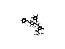 CCCN(CCC)C(=O)c1cc(C)cc(C(=O)N[C@@H](Cc2cc(F)cc(F)c2)[C@@H](O)[C@H](O)[C@@H](C)C(=O)NCc2ccccc2)c1